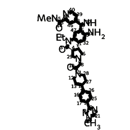 CCN(C(=O)[C@@H]1CCN(CC(=O)N2CC=C(c3ccc(-c4ncn(C)n4)cc3)CC2)C1)c1ccc(N)c(C(=N)c2ccnc(C(=O)NC)c2)c1